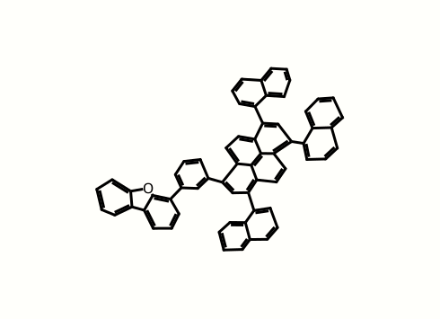 c1cc(-c2cc(-c3cccc4ccccc34)c3ccc4c(-c5cccc6ccccc56)cc(-c5cccc6ccccc56)c5ccc2c3c54)cc(-c2cccc3c2oc2ccccc23)c1